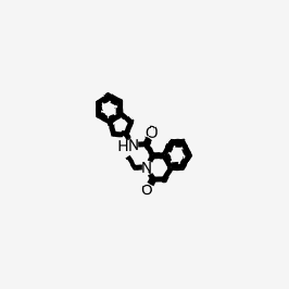 CCN1C(=O)Cc2ccccc2C1C(=O)NC1Cc2ccccc2C1